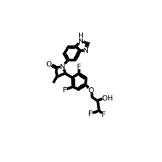 CC1C(=O)N(c2ccc3[nH]cnc3c2)C1c1c(F)cc(OCC(O)C(F)F)cc1F